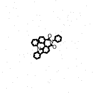 O=c1c2ccccc2c2c(ccc3c4ccccc4n(-c4ccccc4)c32)c(=O)n1-c1ccccc1